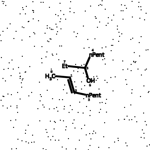 CC=CCCCCC.CCCCCC(O)CC